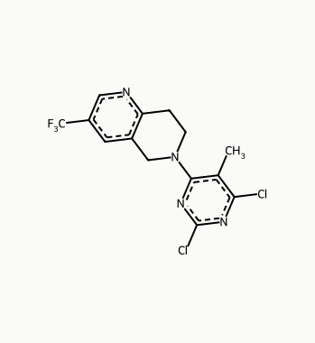 Cc1c(Cl)nc(Cl)nc1N1CCc2ncc(C(F)(F)F)cc2C1